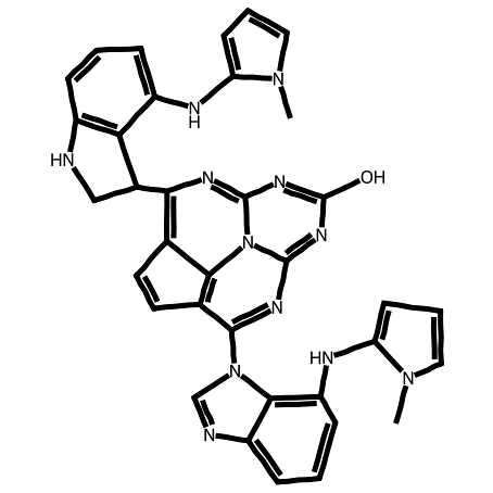 Cn1cccc1Nc1cccc2c1C(c1nc3nc(O)nc4nc(-n5cnc6cccc(Nc7cccn7C)c65)c5ccc1c5n34)CN2